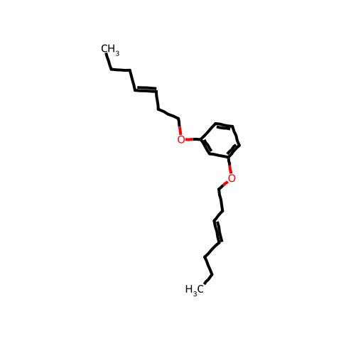 CCC/C=C/CCOc1cccc(OCC/C=C/CCC)c1